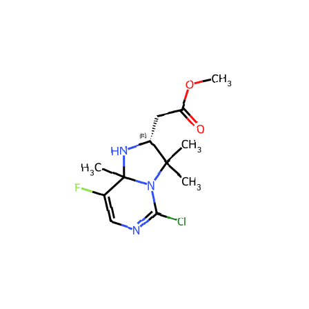 COC(=O)C[C@H]1NC2(C)C(F)=CN=C(Cl)N2C1(C)C